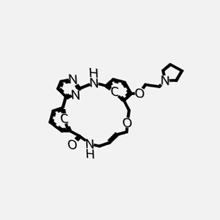 O=C1NC/C=C/COCc2cc(ccc2OCCN2CCCC2)Nc2nccc(n2)-c2cccc1c2